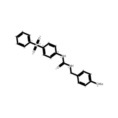 COc1ccc(CNC(=O)Nc2ccc(S(=O)(=O)c3ccccc3)cc2)cc1